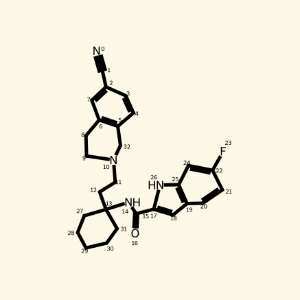 N#Cc1ccc2c(c1)CCN(CCC1(NC(=O)c3cc4ccc(F)cc4[nH]3)CCCCC1)C2